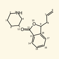 C1CCNCC1.C=CCC1OC(=O)c2ccccc21